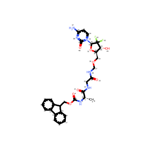 C[C@H](NC(=O)OCC1c2ccccc2-c2ccccc21)C(=O)NCC(=O)NCOC[C@H]1O[C@@H](n2ccc(N)nc2=O)C(F)(F)[C@@H]1O